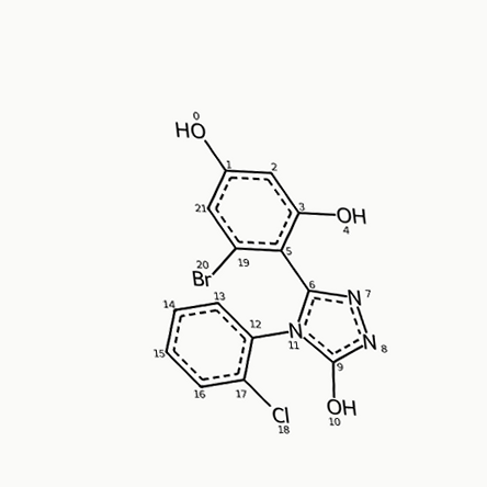 Oc1cc(O)c(-c2nnc(O)n2-c2ccccc2Cl)c(Br)c1